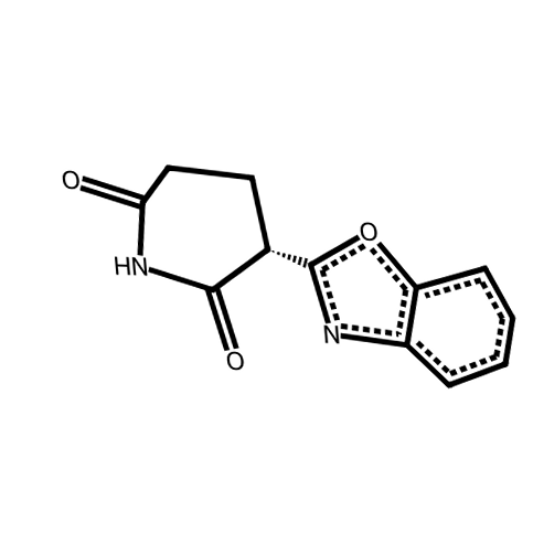 O=C1CC[C@H](c2nc3ccccc3o2)C(=O)N1